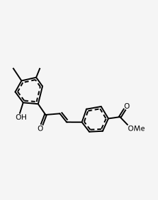 COC(=O)c1ccc(/C=C/C(=O)c2cc(C)c(C)cc2O)cc1